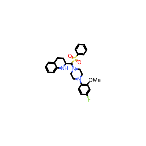 COc1cc(F)ccc1N1CCN(C(C2CCc3ccccc3N2)S(=O)(=O)c2ccccc2)CC1